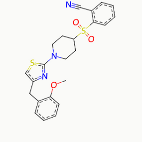 COc1ccccc1Cc1csc(N2CCC(S(=O)(=O)c3ccccc3C#N)CC2)n1